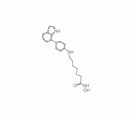 O=C(CCCCCCNc1ccc(-c2cccc3cc[nH]c23)cc1)NO